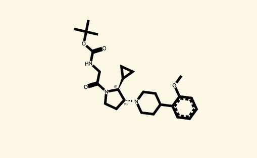 COc1ccccc1C1CCN([C@@H]2CCN(C(=O)CNC(=O)OC(C)(C)C)[C@H]2C2CC2)CC1